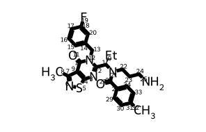 CC[C@@H](c1nc2snc(C)c2c(=O)n1Cc1cccc(F)c1)N(CCCN)C(=O)c1ccc(C)cc1